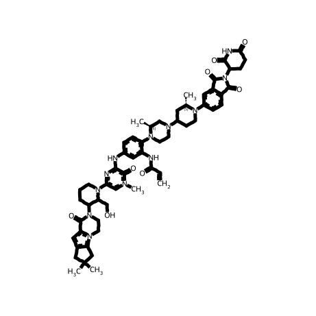 C=CC(=O)Nc1cc(Nc2nc(N3CCCC(N4CCn5c(cc6c5CC(C)(C)C6)C4=O)C3CO)cn(C)c2=O)ccc1N1CCN(C2CCN(c3ccc4c(c3)C(=O)N(C3CCC(=O)NC3=O)C4=O)[C@@H](C)C2)C[C@@H]1C